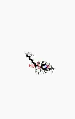 CCCCCCCCCCCCCCCCC(C)(O)C(=O)OC1CC(C)(C)N(OCCC)C(C)(C)C1